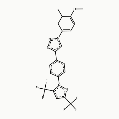 COC1=CC=C(n2cc(-c3ccc(-n4nc(C(F)(F)F)cc4C(F)(F)F)cc3)nn2)CC1C